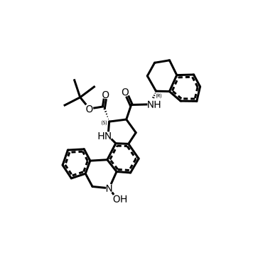 CC(C)(C)OC(=O)[C@H]1Nc2c(ccc3c2-c2ccccc2CN3O)CC1C(=O)N[C@@H]1CCCc2ccccc21